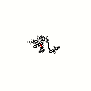 NC(=O)CC[C@H](NC(=O)[C@@H]1CC[C@@H]2CCN(C(=O)C3CN(CCCCC#Cc4cccc5c4CN(C4CCC(=O)NC4=O)C5=O)C3)C[C@H](NC(=O)c3cc4cc(C(F)(F)P(=O)(O)O)ccc4s3)C(=O)N21)C(=O)NC(c1ccccc1)c1ccccc1